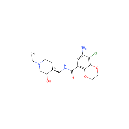 N#CCN1CC[C@@H](CNC(=O)c2cc(N)c(Cl)c3c2OCCO3)C(O)C1